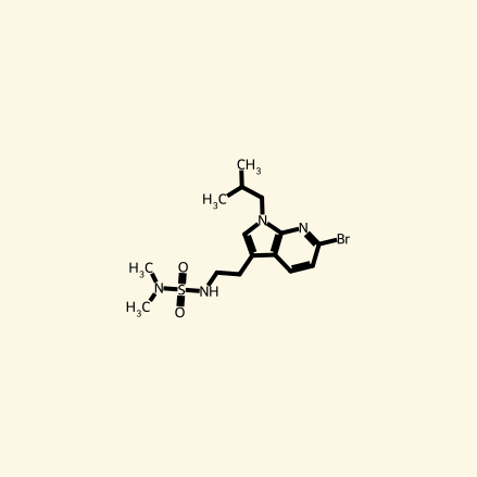 CC(C)Cn1cc(CCNS(=O)(=O)N(C)C)c2ccc(Br)nc21